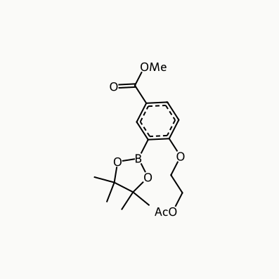 COC(=O)c1ccc(OCCOC(C)=O)c(B2OC(C)(C)C(C)(C)O2)c1